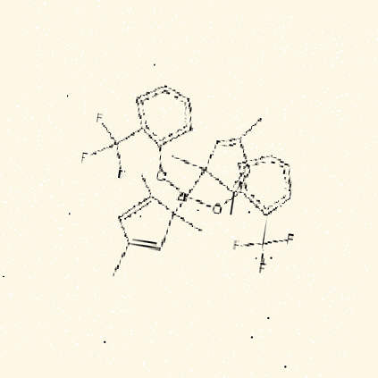 CC1=C[C](C)([Zr]([O]c2ccccc2C(F)(F)F)([O]c2ccccc2C(F)(F)F)[C]2(C)C=C(C)C=C2C)C(C)=C1